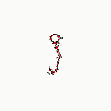 CO[C@H]1CC2CC[C@@H](C)C(O2)C(=O)C(=O)N2CCCC[C@H]2C(=O)O[C@H]([C@H](N)C[C@@H]2CC[C@@H](OC(=O)N(C)Cc3cnc(N4CCN(c5ncc(C(=O)NCCOCCOCCOCCOCCC(=O)N6CCc7cc(Cn8nc(-c9cnc%10[nH]ccc%10c9)c9c(N)ncnc98)ccc7C6)cn5)CC4)nc3)[C@H](OC)C2)CC(=O)[C@H](C)/C=C(\C)[C@@H](O)[C@@H](OC)C(=O)[C@H](C)C[C@H](C)/C=C/C=C/C=C/1C